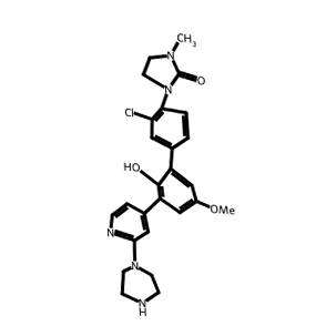 COc1cc(-c2ccnc(N3CCNCC3)c2)c(O)c(-c2ccc(N3CCN(C)C3=O)c(Cl)c2)c1